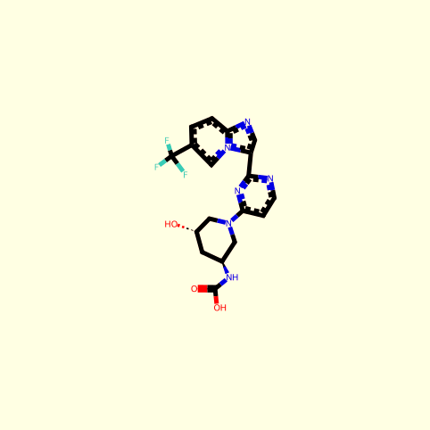 O=C(O)N[C@H]1C[C@H](O)CN(c2ccnc(-c3cnc4ccc(C(F)(F)F)cn34)n2)C1